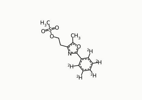 [2H]c1c([2H])c([2H])c(-c2nc(CCOS(C)(=O)=O)c(C)o2)c([2H])c1[2H]